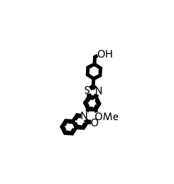 COc1cc2nc(C3CCC(CO)CC3)sc2cc1-n1cc2ccccc2cc1=O